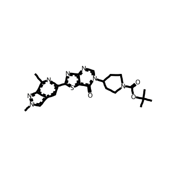 Cc1nc(-c2nc3ncn(C4CCN(C(=O)OC(C)(C)C)CC4)c(=O)c3s2)cc2cn(C)nc12